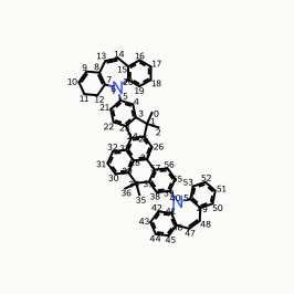 CC1(C)c2cc(N3C4=C(C=CCC4)C=Cc4ccccc43)ccc2-c2c1cc1c3c(cccc23)C(C)(C)c2cc(N3c4ccccc4C=Cc4ccccc43)ccc2-1